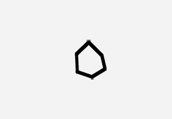 [C]1CC[CH]CC1